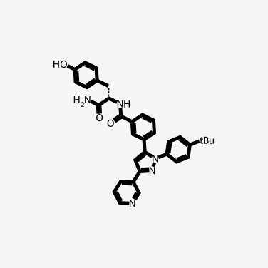 CC(C)(C)c1ccc(-n2nc(-c3cccnc3)cc2-c2cccc(C(=O)N[C@@H](Cc3ccc(O)cc3)C(N)=O)c2)cc1